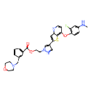 CNc1ccc(Oc2ccnc3cc(-c4cnn(CCOC(=O)c5cccc(CN6CCOCC6)c5)c4)sc23)c(F)c1